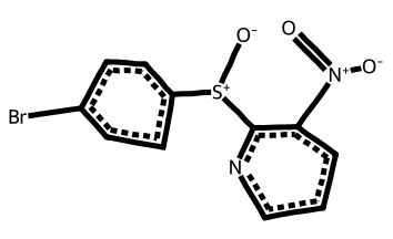 O=[N+]([O-])c1cccnc1[S+]([O-])c1ccc(Br)cc1